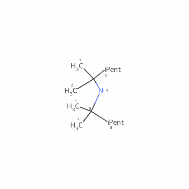 CCCC(C)C(C)(C)[N]C(C)(C)C(C)CCC